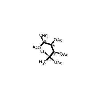 CC[C@](C)(OC(C)=O)[C@H](OC(C)=O)[C@H](OC(C)=O)[C@H](C=O)OC(C)=O